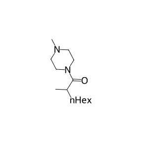 CCCCCCC(C)C(=O)N1CCN(C)CC1